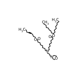 CCCC#CCCCOC(=O)CCCCCCCN(CCCCCCCC(=O)OC(CCCCCCCC)CCCCCCCC)CCCN1CCOCC1